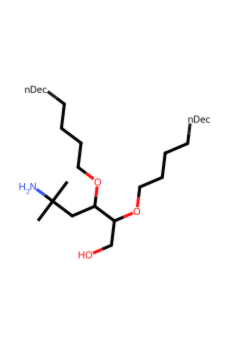 CCCCCCCCCCCCCCOC(CO)C(CC(C)(C)N)OCCCCCCCCCCCCCC